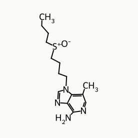 CCCC[S+]([O-])CCCCn1cnc2c(N)ncc(C)c21